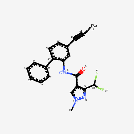 Cn1cc(C(=O)Nc2cc(C#CC(C)(C)C)ccc2-c2ccccc2)c(C(F)F)n1